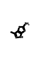 Cc1n[nH]c2nc(N)sc12